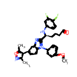 COc1ccc(-n2c([C@H](CCCC=O)Nc3ccc(F)c(F)c3)nc3cc(-c4c(C)noc4C)ccc32)cc1